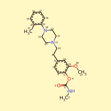 CNC(=O)Oc1ccc(CCN2CCN(c3ccccc3C)CC2)cc1OC